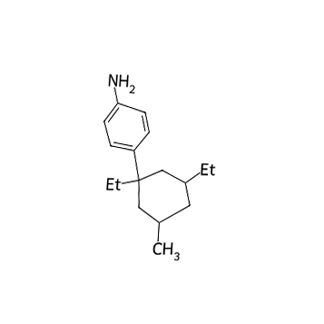 CCC1CC(C)CC(CC)(c2ccc(N)cc2)C1